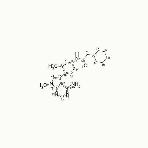 Cc1cc(NC(=O)CC2CCCCC2)ccc1-c1cn(C)c2ncnc(N)c12